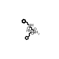 NC(=O)C(CC(=O)NCCc1ccccc1)NC(=O)CCC1CCCC1